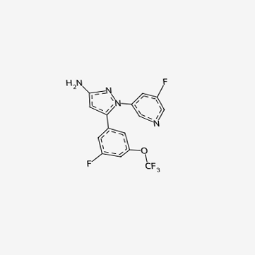 Nc1cc(-c2cc(F)cc(OC(F)(F)F)c2)n(-c2cncc(F)c2)n1